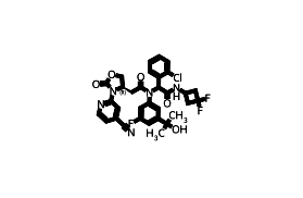 CC(C)(O)c1cc(F)cc(N(C(=O)C[C@@H]2COC(=O)N2c2cc(C#N)ccn2)C(C(=O)NC2CC(F)(F)C2)c2ccccc2Cl)c1